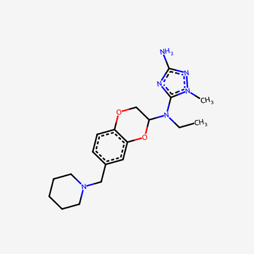 CCN(c1nc(N)nn1C)C1COc2ccc(CN3CCCCC3)cc2O1